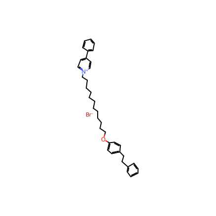 [Br-].c1ccc(CCc2ccc(OCCCCCCCCCCCC[n+]3ccc(-c4ccccc4)cc3)cc2)cc1